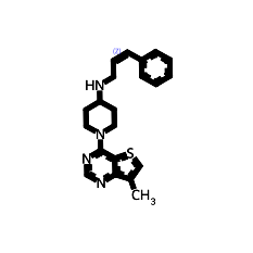 Cc1csc2c(N3CCC(NC/C=C\c4ccccc4)CC3)ncnc12